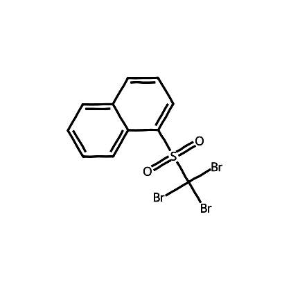 O=S(=O)(c1cccc2ccccc12)C(Br)(Br)Br